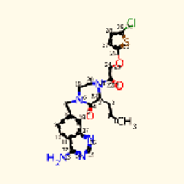 CCC[C@H]1C(=O)N(Cc2ccc3c(N)ncnc3c2)CCN1C(=O)COc1ccc(Cl)s1